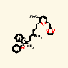 C=C(CCC[C@H]1O[C@H](CC2OCCO2)C=C[C@@H]1OC)CCC(C)(C)[Si](O)(c1ccccc1)c1ccccc1